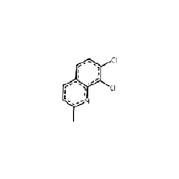 Cc1ccc2ccc(Cl)c(Cl)c2n1